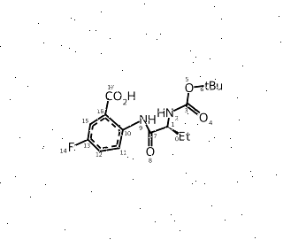 CC[C@H](NC(=O)OC(C)(C)C)C(=O)Nc1ccc(F)cc1C(=O)O